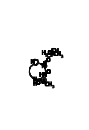 Cn1cc2c(n1)C(=O)NCCCCCc1cc(ccn1)-c1nc(cn1COCC[Si](C)(C)C)C(=O)N2